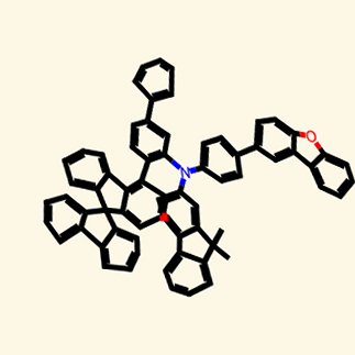 CC1(C)c2ccccc2-c2ccc(N(c3ccc(-c4ccc5oc6ccccc6c5c4)cc3)c3cc(-c4ccccc4)ccc3-c3cccc4c3-c3ccccc3C43c4ccccc4-c4ccccc43)cc21